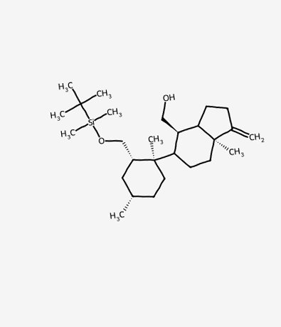 C=C1CCC2[C@H](CO)C([C@@]3(C)CC[C@H](C)C[C@@H]3CO[Si](C)(C)C(C)(C)C)CC[C@]12C